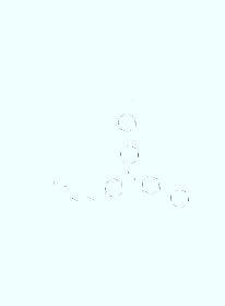 C=C/C=C\C=C\c1ccc(N(c2ccc(-c3ccccc3)cc2)c2ccc(-c3ccc(Br)cc3)cc2)cc1